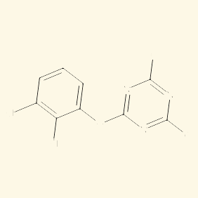 Clc1nc(Cl)nc(Oc2cccc(Cl)c2Cl)n1